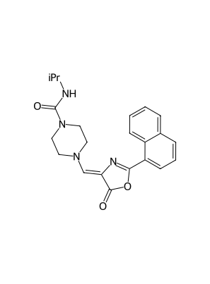 CC(C)NC(=O)N1CCN(C=C2N=C(c3cccc4ccccc34)OC2=O)CC1